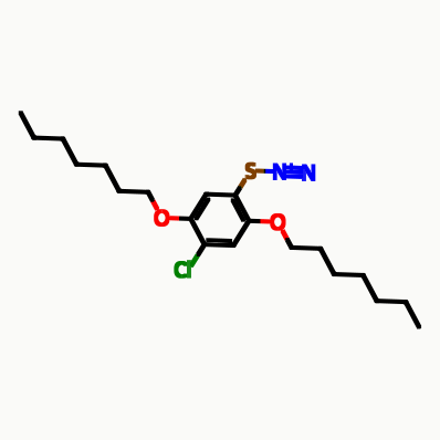 CCCCCCCOc1cc(S[N+]#N)c(OCCCCCCC)cc1Cl